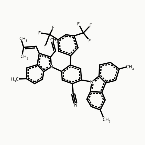 C=Cc1c(C=C(C)C)c2cc(C)ccc2n1-c1cc(C#N)c(-n2c3ccc(C)cc3c3cc(C)ccc32)cc1-c1cc(C(F)(F)F)cc(C(F)(F)F)c1